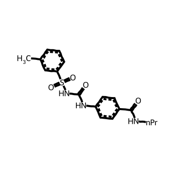 CCCNC(=O)c1ccc(NC(=O)NS(=O)(=O)c2cccc(C)c2)cc1